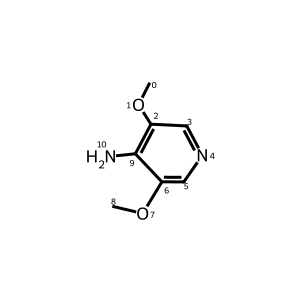 COc1cncc(OC)c1N